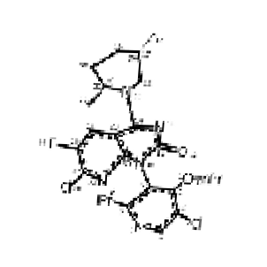 CCCOc1c(Cl)cnc(C(C)C)c1-n1c(=O)nc(N2C[C@@H](C)CC[C@@H]2C)c2cc(F)c(Cl)nc21